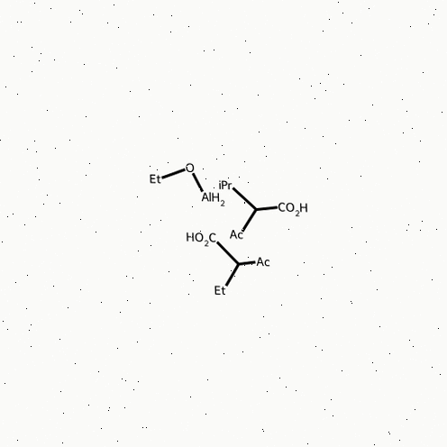 CC(=O)C(C(=O)O)C(C)C.CCC(C(C)=O)C(=O)O.CC[O][AlH2]